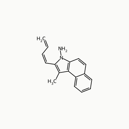 C=C/C=C\c1c(C)c2c3ccccc3ccc2n1N